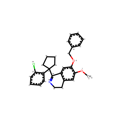 COc1cc2c(cc1OCc1ccccc1)C(C1(c3ccccc3Cl)CCCC1)=NCC2